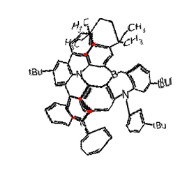 CC(C)(C)c1cccc(N2c3cc(C(C)(C)C)ccc3B3c4cc5c(cc4N(c4c(-c6ccccc6)cc(C(C)(C)C)cc4-c4ccccc4)c4cc(N(c6ccccc6)c6ccccc6)cc2c43)C(C)(C)CCC5(C)C)c1